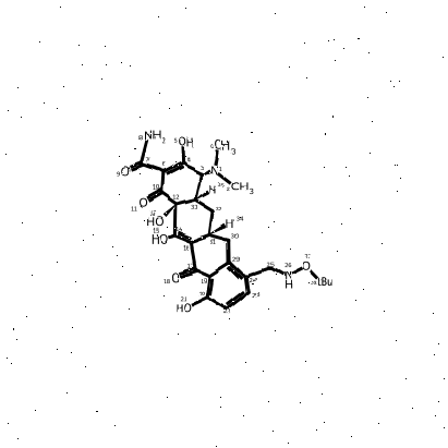 CN(C)[C@@H]1C(O)=C(C(N)=O)C(=O)[C@@]2(O)C(O)=C3C(=O)c4c(O)ccc(CNOC(C)(C)C)c4C[C@H]3C[C@@H]12